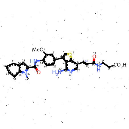 COc1cc(-c2csc3c(/C=C/C(=O)NCCC(=O)O)cnc(N)c23)ccc1NC(=O)c1cc2ccccc2n1C